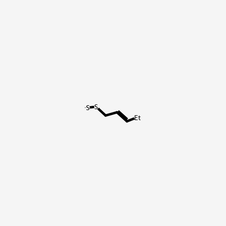 CCC=CCS[S]